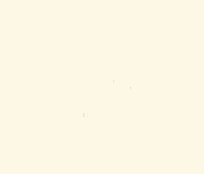 N[C@H](CC1CCCCC1)C(O)C(=O)NNc1ccc(Br)cc1